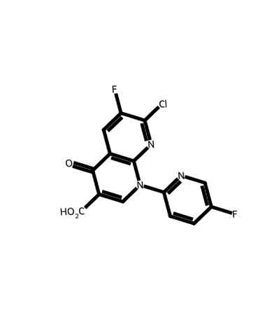 O=C(O)c1cn(-c2ccc(F)cn2)c2nc(Cl)c(F)cc2c1=O